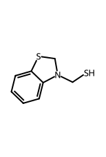 SCN1CSc2ccccc21